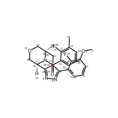 COc1ccnc(-c2nnc3n2C[C@@H]2COC[C@H]3N2C(=O)c2cccc(C)c2F)c1F